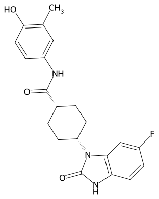 Cc1cc(NC(=O)[C@H]2CC[C@@H](n3c(=O)[nH]c4ccc(F)cc43)CC2)ccc1O